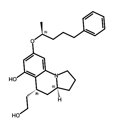 C[C@@H](CCCc1ccccc1)Oc1cc(O)c2c(c1)N1CCC[C@H]1C[C@@H]2CCO